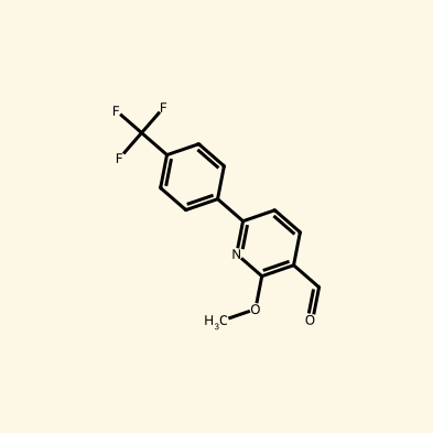 COc1nc(-c2ccc(C(F)(F)F)cc2)ccc1C=O